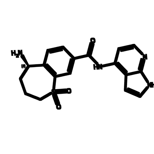 N[C@@H]1CCCS(=O)(=O)c2cc(C(=O)Nc3ccnc4[nH]ccc34)ccc21